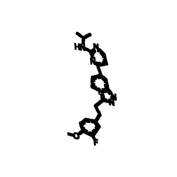 COc1ccc(CCc2nnc3cc(-c4ccnc(NC(C)C)n4)ccn23)cc1F